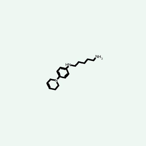 NCCCCCNc1ccc(N2CC=CCC2)cc1